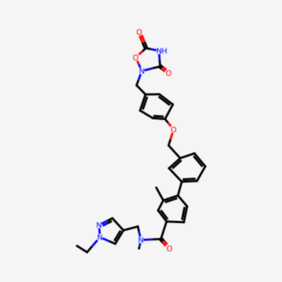 CCn1cc(CN(C)C(=O)c2ccc(-c3cccc(COc4ccc(Cn5oc(=O)[nH]c5=O)cc4)c3)c(C)c2)cn1